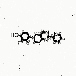 Oc1ccc(N2CCc3nc(-c4ccccn4)ncc3C2)c(F)c1F